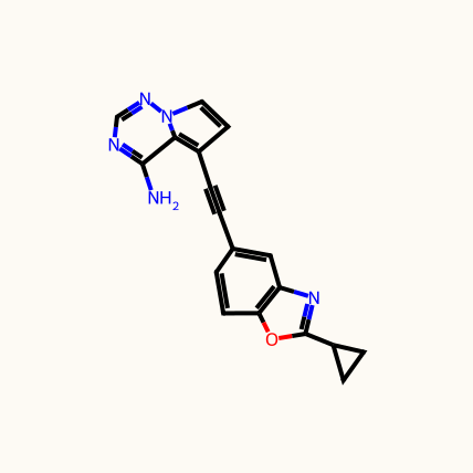 Nc1ncnn2ccc(C#Cc3ccc4oc(C5CC5)nc4c3)c12